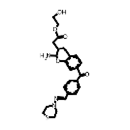 NC1Oc2cc(C(=O)c3ccc(C=NN4CCSCC4)cc3)ccc2CC1CC(=O)OCCO